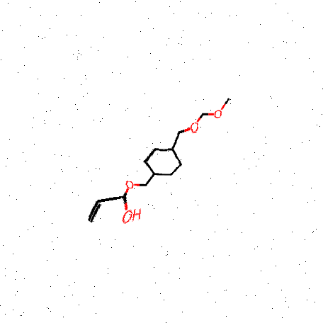 C=CC(O)OCC1CCC(COCOC)CC1